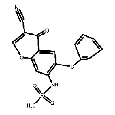 CS(=O)(=O)Nc1cc2occ(C#N)c(=O)c2cc1Oc1ccccc1